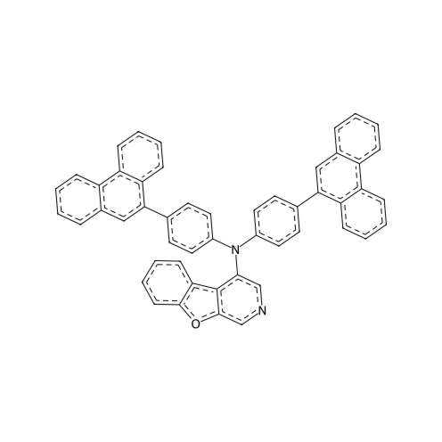 c1ccc2c(c1)cc(-c1ccc(N(c3ccc(-c4cc5ccccc5c5ccccc45)cc3)c3cncc4oc5ccccc5c34)cc1)c1ccccc12